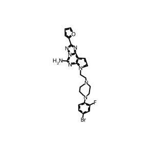 Nc1nc2c(ccn2CCN2CCN(c3ccc(Br)cc3F)CC2)c2nc(-c3ccco3)nn12